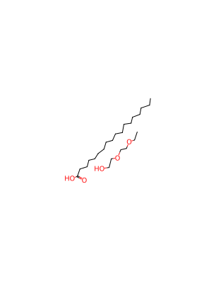 CCCCCCCCCCCCCCCCCC(=O)O.CCOCCOCCO